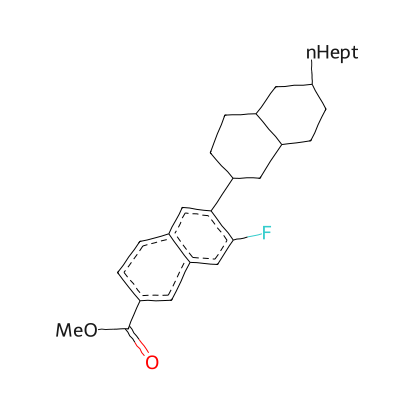 CCCCCCCC1CCC2CC(c3cc4ccc(C(=O)OC)cc4cc3F)CCC2C1